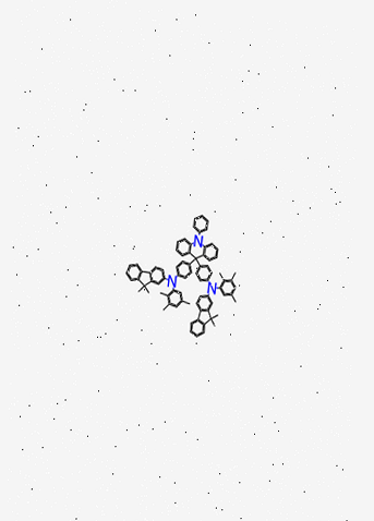 Cc1cc(C)c(C)c(N(c2ccc(C3(c4ccc(N(c5ccc6c(c5)C(C)(C)c5ccccc5-6)c5cc(C)cc(C)c5C)cc4)c4ccccc4N(c4ccccc4)c4ccccc43)cc2)c2ccc3c(c2)C(C)(C)c2ccccc2-3)c1